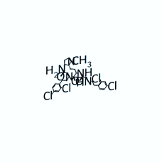 CN1CCC[C@@H]1CCC(NC(=O)CNCCc1ccc(Cl)cc1Cl)C(=O)N(CCc1ccc(Cl)cc1Cl)CC(N)=O